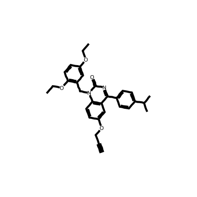 C#CCOc1ccc2c(c1)c(-c1ccc(C(C)C)cc1)nc(=O)n2Cc1cc(OCC)ccc1OCC